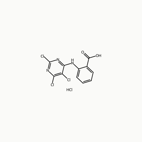 Cl.O=C(O)c1ccccc1Nc1nc(Cl)nc(Cl)c1Cl